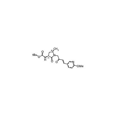 COc1ccc(C=CC(=O)CN2C(=O)[C@@H](NC(=O)OC(C)(C)C)C[C@H]2C)cn1